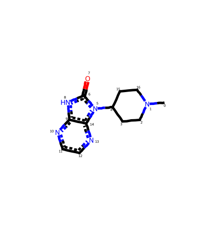 CN1CCC(n2c(=O)[nH]c3nccnc32)CC1